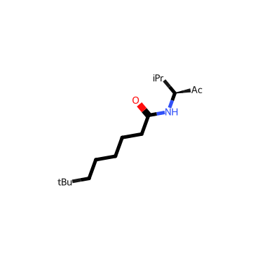 CC(=O)[C@@H](NC(=O)CCCCCC(C)(C)C)C(C)C